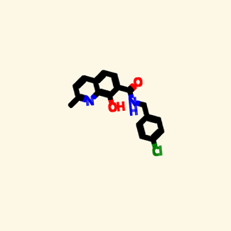 Cc1ccc2ccc(C(=O)NCc3ccc(Cl)cc3)c(O)c2n1